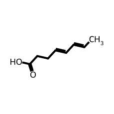 C/C=C/C=C/CCC(=O)O